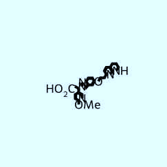 COc1ccc(C(CC(=O)O)n2cc3cc(OCCc4ccc5c(n4)NCCC5)ccc3n2)cn1